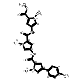 COC(=O)c1cc(NC(=O)c2cc(NC(=O)c3cc(-c4ccc(N)cc4)cn3C)cn2C)cn1C